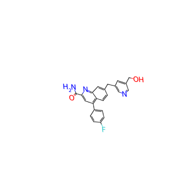 NC(=O)c1cc(-c2ccc(F)cc2)c2ccc(Cc3cncc(CO)c3)cc2n1